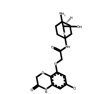 NC12CCC(NC(=O)COc3cc(Cl)cc4c3OCC(=O)N4)(CC1)C[C@@H]2O